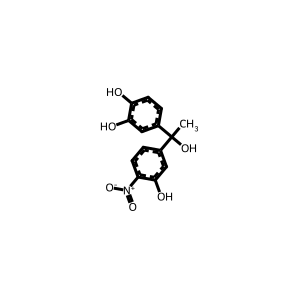 CC(O)(c1ccc(O)c(O)c1)c1ccc([N+](=O)[O-])c(O)c1